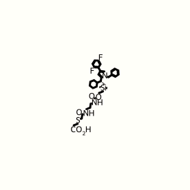 C[Si](C)(CCOC(=O)NCCCNC(=O)CSCCC(=O)O)C[C@@H](c1cc(-c2cc(F)ccc2F)cn1Cc1ccccc1)C1CCCCC1